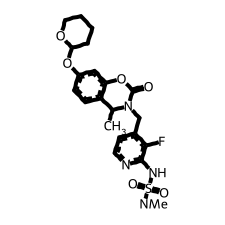 CNS(=O)(=O)Nc1nccc(CN2C(=O)Oc3cc(OC4CCCCO4)ccc3C2C)c1F